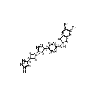 Fc1cc2c(cc1F)CC(Nc1ncc(C3CC(N4CC(c5c[nH]nn5)C4)=NO3)cn1)C2